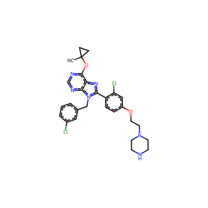 N#CC1(Oc2ncnc3c2nc(-c2ccc(OCCN4CCNCC4)cc2Cl)n3Cc2cccc(Cl)c2)CC1